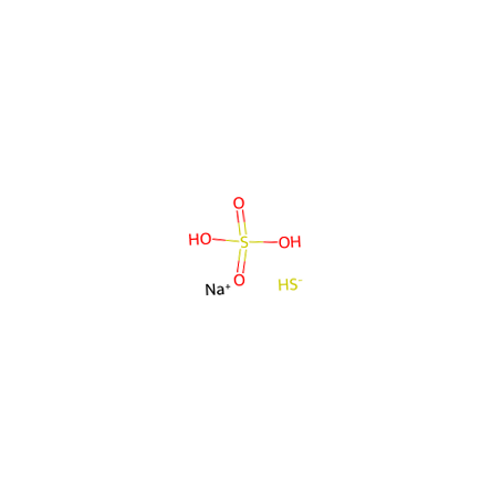 O=S(=O)(O)O.[Na+].[SH-]